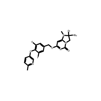 CCCCC1(CC)Cn2c(cc(OCc3cc(F)c(Oc4ccc(C)nc4)c(F)c3)nc2=O)N1C